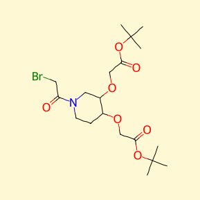 CC(C)(C)OC(=O)COC1CCN(C(=O)CBr)CC1OCC(=O)OC(C)(C)C